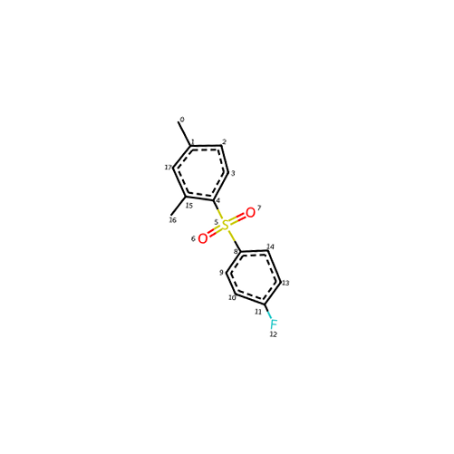 Cc1ccc(S(=O)(=O)c2ccc(F)cc2)c(C)c1